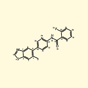 Cc1cc2scnc2cc1-c1ccc(NC(=O)c2ccccc2F)nc1